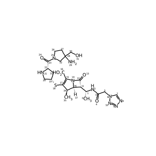 C[C@@H](NC(=O)Cn1cnnn1)[C@H]1C(=O)N2C(C(=O)O)=C(S[C@@H]3CN[C@H](C(=O)N4CCC(N)(CO)C4)C3)[C@H](C)[C@H]12